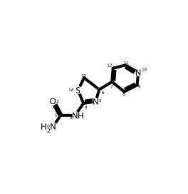 NC(=O)NC1=NC(c2ccncc2)CS1